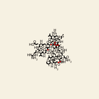 CC[C@H](C)[C@H](NC(=O)[C@@H](N)CC(=O)O)C(=O)N[C@H](C(=O)N[C@@H](CCSC)C(=O)N[C@H](C(=O)N[C@@H](CCC(N)=O)C(=O)N[C@@H](CO)C(=O)N1CCC[C@H]1C(=O)N[C@@H](C)C(=O)N[C@H](C(=O)N[C@@H](CCSC)C(=O)N[C@@H](CO)C(=O)N[C@H](C(=O)N[C@@H](CO)C(=O)N[C@@H](CC(C)C)C(=O)NCC(=O)N[C@@H](CCC(=O)O)C(=O)N[C@@H](CCCNC(=N)N)C(=O)N[C@H](C(=O)N[C@@H](CO)C(=O)O)C(C)C)C(C)C)[C@@H](C)O)[C@@H](C)O)C(C)C